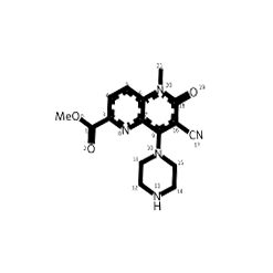 COC(=O)c1ccc2c(n1)c(N1CCNCC1)c(C#N)c(=O)n2C